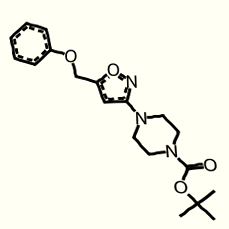 CC(C)(C)OC(=O)N1CCN(c2cc(COc3ccccc3)on2)CC1